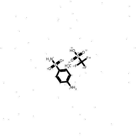 C.Nc1ccc(S(N)(=O)=O)cc1.O=S(=O)(O)C(F)(F)F